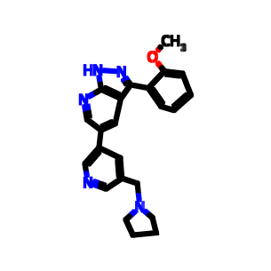 COc1ccccc1-c1n[nH]c2ncc(-c3cncc(CN4CCCC4)c3)cc12